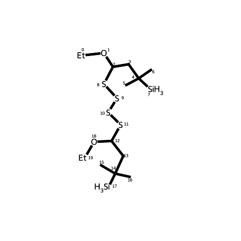 CCOC(CC(C)(C)[SiH3])SSSSC(CC(C)(C)[SiH3])OCC